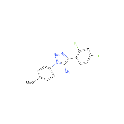 COc1ccc(-n2nnc(-c3ccc(F)cc3F)c2N)cc1